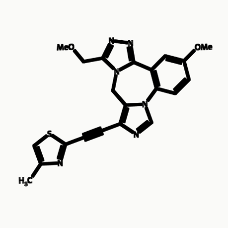 COCc1nnc2n1Cc1c(C#Cc3nc(C)cs3)ncn1-c1ccc(OC)cc1-2